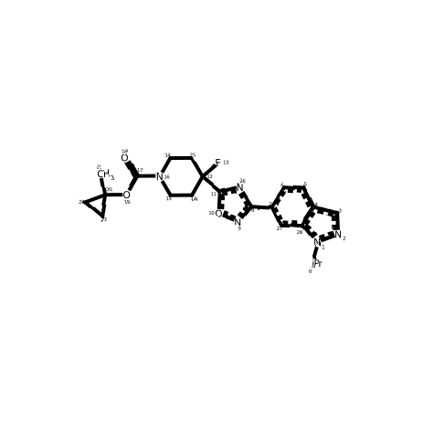 CC(C)n1ncc2ccc(-c3noc(C4(F)CCN(C(=O)OC5(C)CC5)CC4)n3)cc21